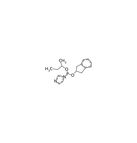 CCC(C)OP(OC1Cc2ccccc2C1)n1ccnc1